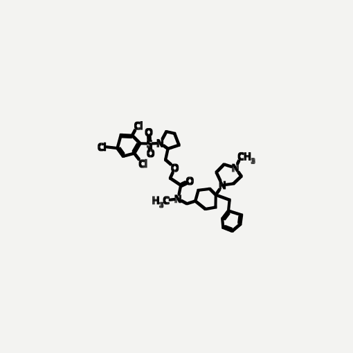 CN1CCN(C2(Cc3ccccc3)CCC(CN(C)C(=O)COCC3CCCN3S(=O)(=O)c3c(Cl)cc(Cl)cc3Cl)CC2)CC1